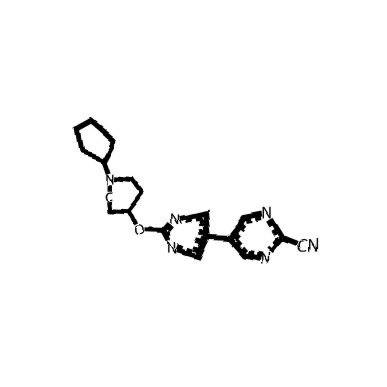 N#Cc1ncc(-c2cnc(OC3CCN(C4CCCC4)CC3)nc2)cn1